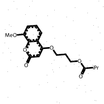 COc1cccc2c(OCCCOC(=O)C(C)C)cc(=O)oc12